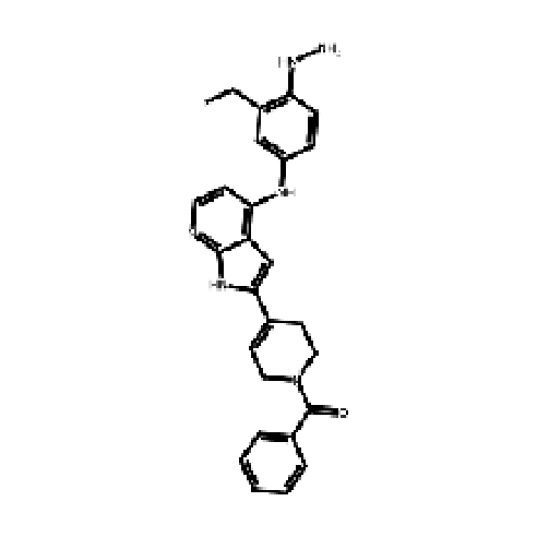 NNc1ccc(Nc2ccnc3[nH]c(C4=CCN(C(=O)c5ccccc5)CC4)cc23)cc1CI